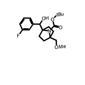 COCC12CCC(C(O)c3cccc(F)c3)(CC1)N2C(=O)OC(C)(C)C